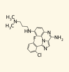 CN(C)CCCNc1ccc2nc(N)c3cnc(-c4c(F)cccc4Cl)n3c2c1